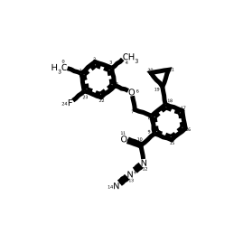 Cc1cc(C)c(OCc2c(C(=O)N=[N+]=[N-])cccc2C2CC2)cc1F